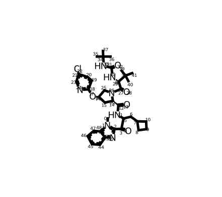 Cn1c(C(=O)C(CC2CCC2)NC(=O)[C@H]2C[C@@H](Oc3ccc(Cl)cn3)CN2C(=O)[C@H](NC(=O)NC(C)(C)C)C(C)(C)C)nc2ccccc21